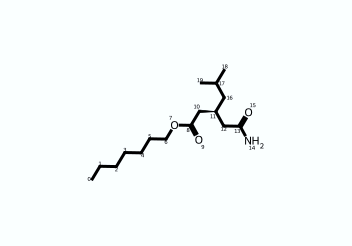 CCCCCCCOC(=O)C[C@H](CC(N)=O)CC(C)C